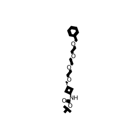 CC(C)(C)OC(=O)N[C@H]1C[C@H](COCCOCCOCCOCc2ccccc2)C1